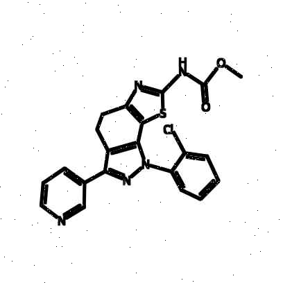 COC(=O)Nc1nc2c(s1)-c1c(c(-c3cccnc3)nn1-c1ccccc1Cl)CC2